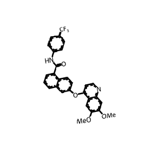 COc1cc2nccc(Oc3ccc4c(C(=O)Nc5ccc(C(F)(F)F)cc5)cccc4c3)c2cc1OC